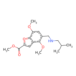 COC(=O)c1cc2c(OC)c(CNCC(C)C)cc(OC)c2o1